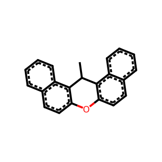 CC1c2c(ccc3ccccc23)Oc2ccc3ccccc3c21